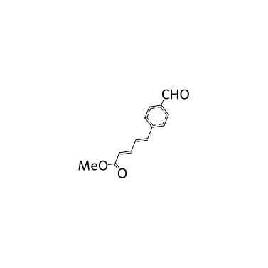 COC(=O)/C=C/C=C/c1ccc(C=O)cc1